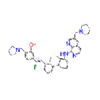 COc1cc(/C(F)=C/c2cccc(-c3cccc(Nc4nccc5cc(CN6CCCCC6)cnc45)c3C)c2C)ccc1CN1CCCC1